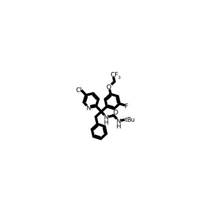 CC(C)(C)NC(=O)NC(Cc1ccccc1)(c1cc(F)cc(OCC(F)(F)F)c1)c1ccc(Cl)cn1